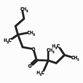 CCCC(C)(C)COC(=O)C(C)(C)CC(C)C